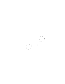 CCN(CC)Cc1ccc(NC(=O)c2ccc(OC)c(I)c2)cc1